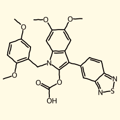 COc1ccc(OC)c(Cn2c(OC(=O)O)c(-c3ccc4nsnc4c3)c3cc(OC)c(OC)cc32)c1